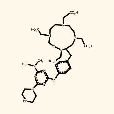 CN(C)c1nc(Nc2ccc(CC3CN(CC(=O)O)CCN(CC(=O)O)CCN(CC(=O)O)CCN3CC(=O)O)cc2)nc(N2CCNCC2)n1